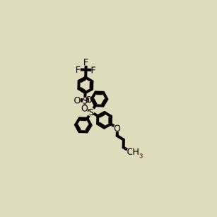 CCCCOc1ccc(S(OS(=O)(=O)c2ccc(C(F)(F)F)cc2)(c2ccccc2)c2ccccc2)cc1